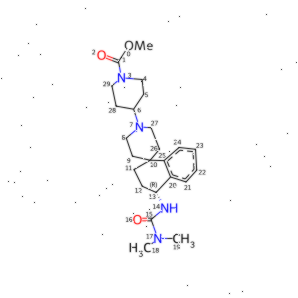 COC(=O)N1CCC(N2CCC3(CC[C@@H](NC(=O)N(C)C)c4ccccc43)CC2)CC1